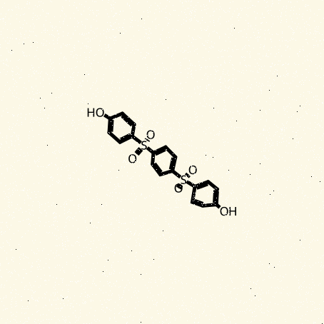 O=S(=O)(c1ccc(O)cc1)c1ccc(S(=O)(=O)c2ccc(O)cc2)cc1